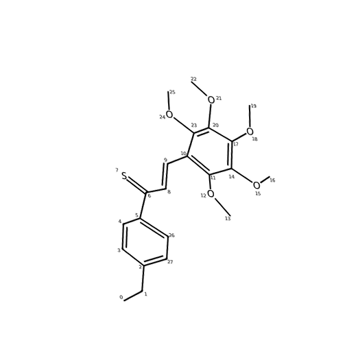 CCc1ccc(C(=S)C=Cc2c(OC)c(OC)c(OC)c(OC)c2OC)cc1